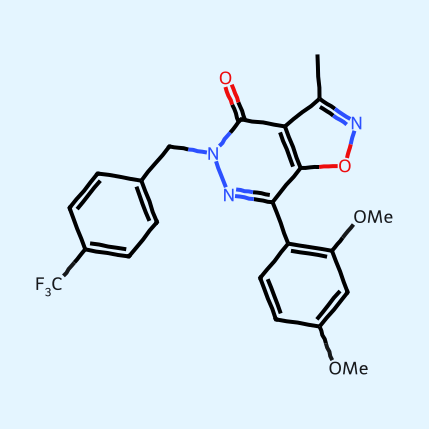 COc1ccc(-c2nn(Cc3ccc(C(F)(F)F)cc3)c(=O)c3c(C)noc23)c(OC)c1